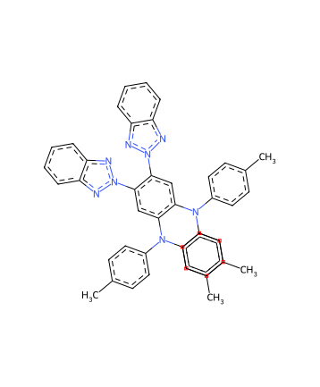 Cc1ccc(N(c2ccc(C)cc2)c2cc(-n3nc4ccccc4n3)c(-n3nc4ccccc4n3)cc2N(c2ccc(C)cc2)c2ccc(C)cc2)cc1